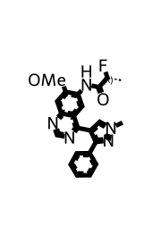 COc1cc2ncnc(-c3cn(C)nc3-c3ccccc3)c2cc1NC(=O)[C@@H](C)F